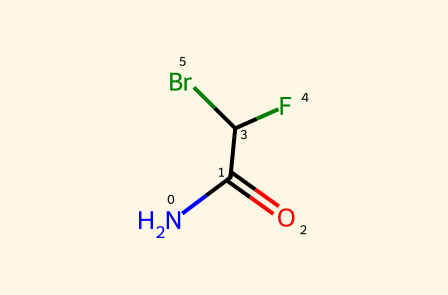 NC(=O)C(F)Br